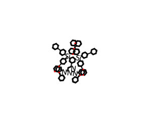 c1ccc(-c2ccc([Si](c3ccc(-c4ccccc4)cc3)(c3ccc(-c4ccccc4)cc3)c3cc(-c4cc(-n5c6ccccc6c6ccccc65)nc(-n5c6ccccc6c6ccccc65)n4)cc([Si](c4ccc(-c5ccccc5)cc4)(c4ccc(-c5ccccc5)cc4)c4ccc(-c5ccccc5)cc4)c3)cc2)cc1